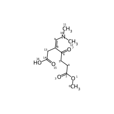 COC(=O)CCC(=O)/C(=C\N(C)C)CC(=O)O